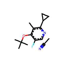 CC#N.Cc1c(C2CC2)ncc(F)c1OC(C)(C)C